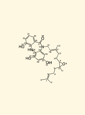 CC(C)=CCCC1(C)OC1CC/C(C)=C/CN1C(=O)c2cccc(O)c2Nc2c(O)cc(O)cc21